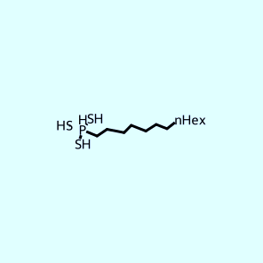 CCCCCCCCCCCCC[PH](S)(S)S